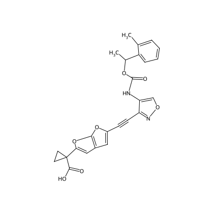 Cc1ccccc1C(C)OC(=O)Nc1conc1C#Cc1cc2cc(C3(C(=O)O)CC3)oc2o1